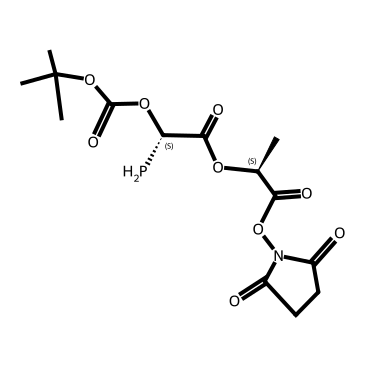 C[C@H](OC(=O)[C@H](P)OC(=O)OC(C)(C)C)C(=O)ON1C(=O)CCC1=O